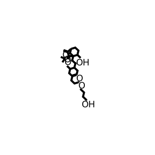 C=C1C(=O)C23C(C)CCC1C2OC(C)(C)OC3C(O)C1CC2=C(CCC(OCCCCO)O2)CC1C